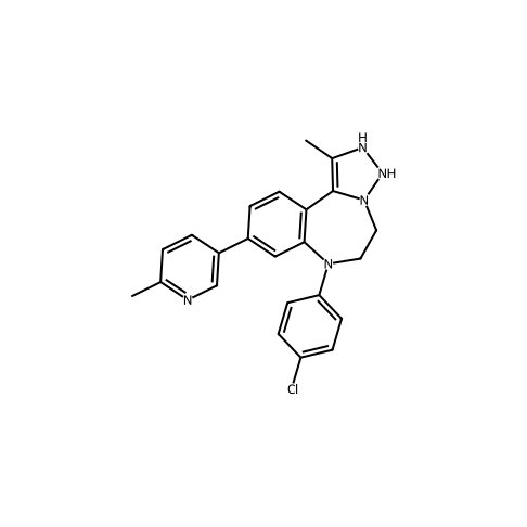 CC1=C2c3ccc(-c4ccc(C)nc4)cc3N(c3ccc(Cl)cc3)CCN2NN1